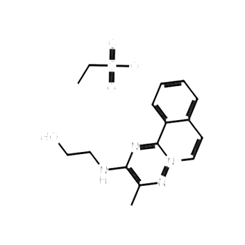 CCS(=O)(=O)[O-].Cc1n[n+]2ccc3ccccc3c2nc1NCCO